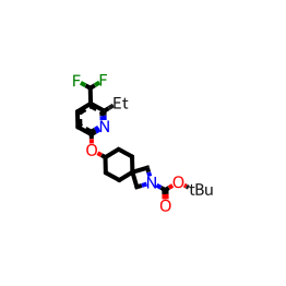 CCc1nc(OC2CCC3(CC2)CN(C(=O)OC(C)(C)C)C3)ccc1C(F)F